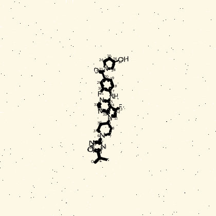 CC(C)c1nc(N2CCC(n3cc(F)c4c(Nc5ccc(C(=O)N6CC[C@@H](O)C6)cc5F)ncnc43)CC2)no1